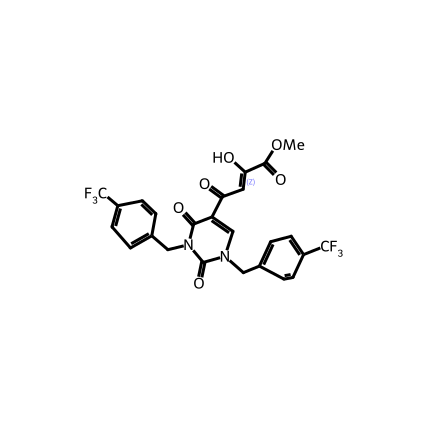 COC(=O)/C(O)=C/C(=O)c1cn(Cc2ccc(C(F)(F)F)cc2)c(=O)n(Cc2ccc(C(F)(F)F)cc2)c1=O